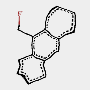 BrCc1c2ccccc2cc2ccccc12